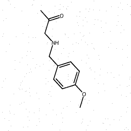 COc1ccc(CNCC(C)=O)cc1